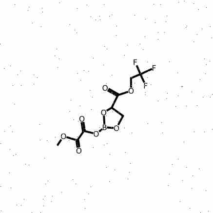 COC(=O)C(=O)OB1OCC(C(=O)OCC(F)(F)F)O1